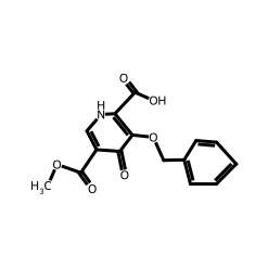 COC(=O)c1c[nH]c(C(=O)O)c(OCc2ccccc2)c1=O